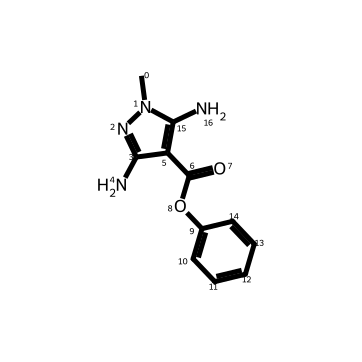 Cn1nc(N)c(C(=O)Oc2ccccc2)c1N